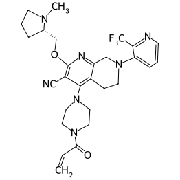 C=CC(=O)N1CCN(c2c(C#N)c(OC[C@@H]3CCCN3C)nc3c2CCN(c2cccnc2C(F)(F)F)C3)CC1